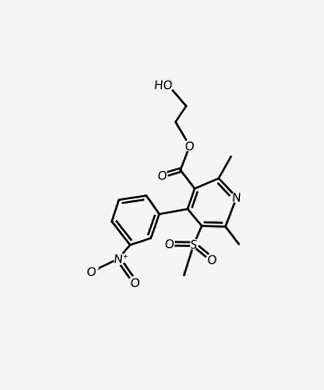 Cc1nc(C)c(S(C)(=O)=O)c(-c2cccc([N+](=O)[O-])c2)c1C(=O)OCCO